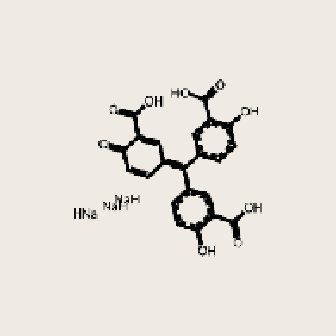 O=C(O)C1=CC(=C(c2ccc(O)c(C(=O)O)c2)c2ccc(O)c(C(=O)O)c2)C=CC1=O.[NaH].[NaH].[NaH]